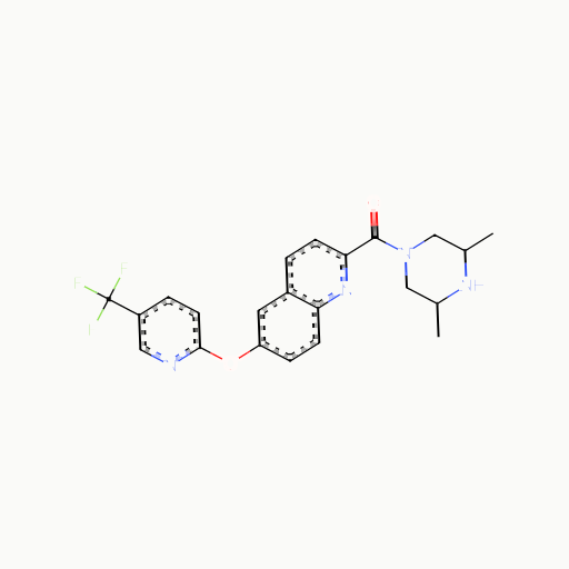 CC1CN(C(=O)c2ccc3cc(Oc4ccc(C(F)(F)F)cn4)ccc3n2)CC(C)N1